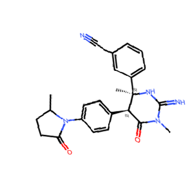 CC1CCC(=O)N1c1ccc([C@@H]2C(=O)N(C)C(=N)N[C@]2(C)c2cccc(C#N)c2)cc1